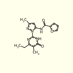 CCc1nc(-n2nc(C)cc2NC(=O)c2ccco2)[nH]c(=O)c1C